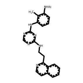 CC(=O)Nc1cccc(Nc2ncnc(NCCc3nccc4ccccc34)n2)c1C